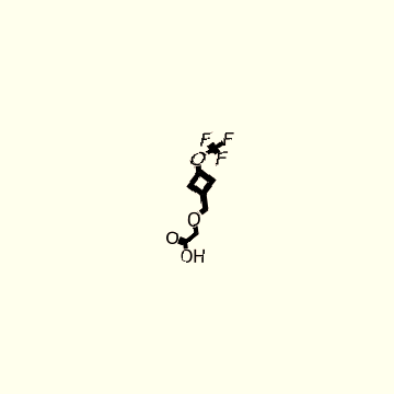 O=C(O)COCC1CC(OC(F)(F)F)C1